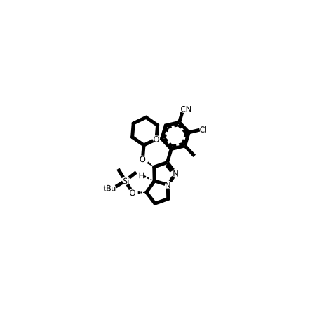 Cc1c(C2=NN3CC[C@H](O[Si](C)(C)C(C)(C)C)[C@H]3[C@@H]2OC2CCCCO2)ccc(C#N)c1Cl